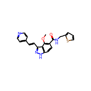 COc1c(C(=O)NCc2cccs2)ccc2[nH]nc(/C=C/c3ccncc3)c12